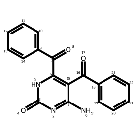 Nc1nc(=O)[nH]c(C(=O)c2ccccc2)c1C(=O)c1ccccc1